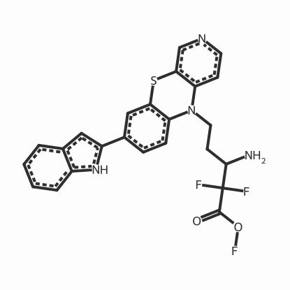 NC(CCN1c2ccncc2Sc2cc(-c3cc4ccccc4[nH]3)ccc21)C(F)(F)C(=O)OF